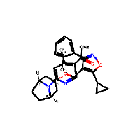 COC(=O)c1cnc(N2[C@@H]3CC[C@H]2C[C@H](OCc2c(-c4ccccc4C(F)(F)F)noc2C2CC2)C3)cc1C(F)(F)F